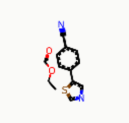 CCOC=O.N#Cc1ccc(-c2cncs2)cc1